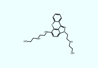 OCCNCCNc1ccc2c3c(nn2CCNCCO)-c2ccccc2Sc13